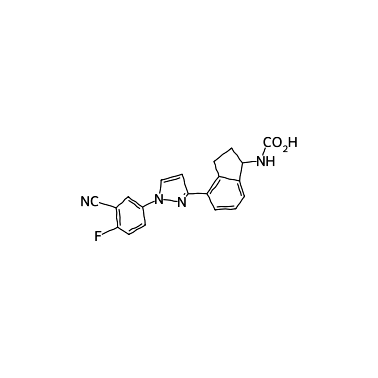 N#Cc1cc(-n2ccc(-c3cccc4c3CCC4NC(=O)O)n2)ccc1F